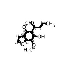 C/C=C/C(=O)c1c(O)c(OC)c2occc2c1OC